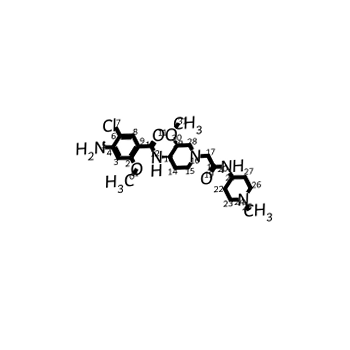 COc1cc(N)c(Cl)cc1C(=O)N[C@@H]1CCN(CC(=O)NC2CCN(C)CC2)C[C@@H]1OC